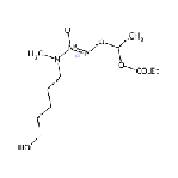 CCOC(=O)OC(C)O/N=[N+](\[O-])N(C)CCCCCO